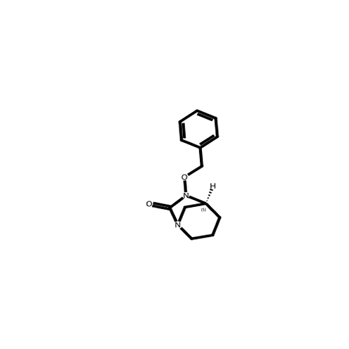 O=C1N2CCC[C@@H](C2)N1OCc1ccccc1